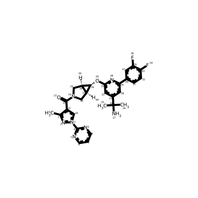 Cc1nn(-c2ncccn2)cc1C(=O)N1C[C@@H]2[C@H](C1)[C@H]2Oc1cc(C(C)(C)N)cc(-c2ccc(F)c(F)c2)n1